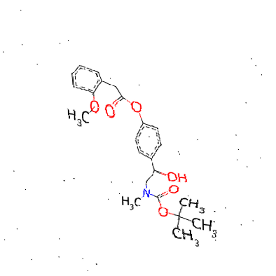 COc1ccccc1CC(=O)Oc1ccc(C(O)CN(C)C(=O)OC(C)(C)C)cc1